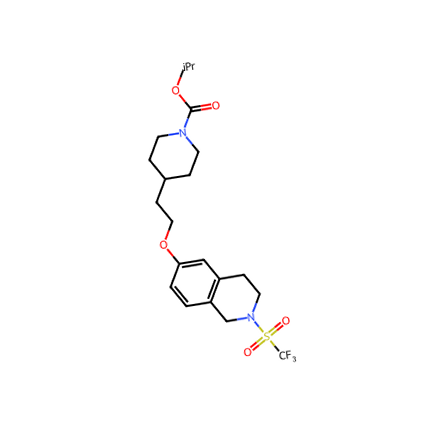 CC(C)OC(=O)N1CCC(CCOc2ccc3c(c2)CCN(S(=O)(=O)C(F)(F)F)C3)CC1